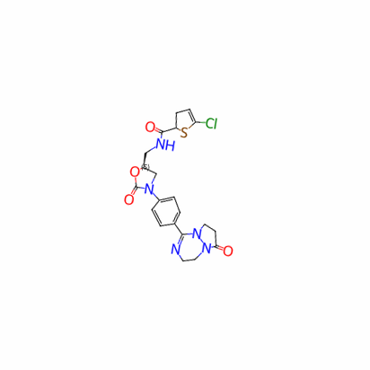 O=C(NC[C@H]1CN(c2ccc(C3=NCCN4C(=O)CCN34)cc2)C(=O)O1)C1CC=C(Cl)S1